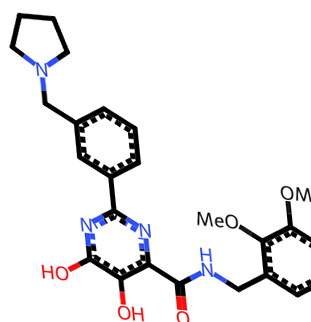 COc1cccc(CNC(=O)c2nc(-c3cccc(CN4CCCC4)c3)nc(O)c2O)c1OC